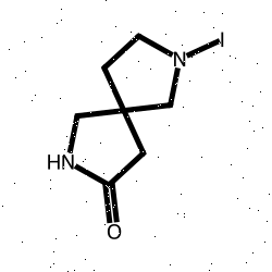 O=C1CC2(CCN(I)C2)CN1